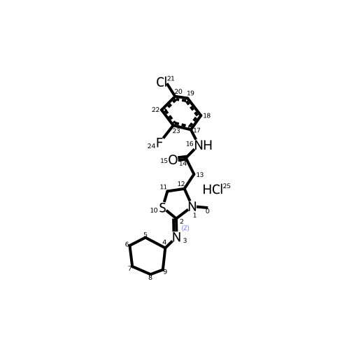 CN1/C(=N/C2CCCCC2)SCC1CC(=O)Nc1ccc(Cl)cc1F.Cl